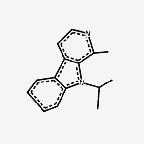 Cc1nccc2c3ccccc3n(C(C)C)c12